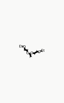 [CH2]C(OCCOCC)OCCOCC